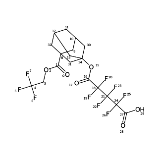 O=C(OCC(F)(F)F)C12CC3CC(CC(OC(=O)C(F)(F)C(F)(F)C(F)(F)C(=O)O)(C3)C1)C2